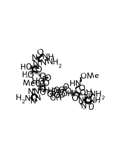 COCCNC(=O)C[C@@H]1[C@@H](COP(=O)(O)OP(=O)(O)OP(=O)(O)OC[C@H]2O[C@@H](n3cnc4c(N)ncnc43)[C@H](OC)[C@@H]2OP(=O)(O)OC[C@H]2O[C@@H](n3cnc4c(=O)[nH]c(N)nc43)[C@H](O)[C@@H]2O)OC(n2c[n+](C)c3c(=O)[nH]c(N)nc32)[C@@H]1O